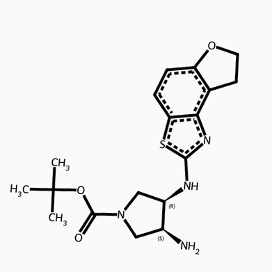 CC(C)(C)OC(=O)N1C[C@H](N)[C@H](Nc2nc3c4c(ccc3s2)OCC4)C1